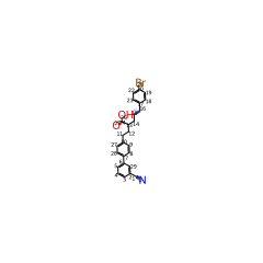 N#Cc1cccc(-c2ccc(CCC(C/C=C/c3ccc(Br)cc3)C(=O)O)cc2)c1